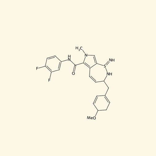 COC1C=CC(CC2C=Cc3c(cn(C)c3C(=O)Nc3ccc(F)c(F)c3)S(=N)N2)=CC1